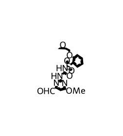 COc1cc(C=O)nc(NC(=O)NS(=O)(=O)c2ccccc2OCC2CO2)n1